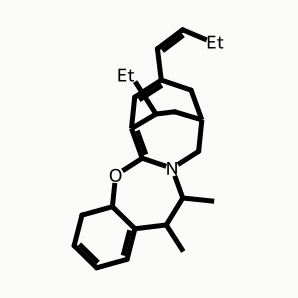 CC/C=C\C1=CC2=C3OC4CC=CC=C4C(C)C(C)N3CC(C1)CC2CC